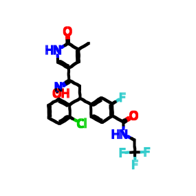 Cc1cc(/C(CC(c2ccc(C(=O)NCC(F)(F)F)c(F)c2)c2ccccc2Cl)=N/O)c[nH]c1=O